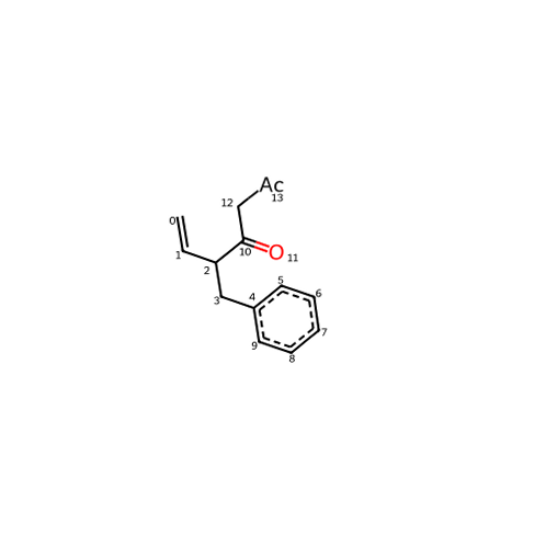 C=CC(Cc1ccccc1)C(=O)CC(C)=O